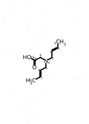 CC=CCN(CC=CC)CC(=O)O